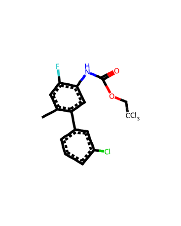 Cc1cc(F)c(NC(=O)OCC(Cl)(Cl)Cl)cc1-c1cccc(Cl)c1